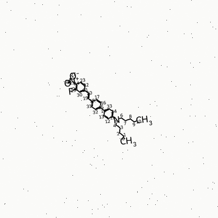 CCCCCN(CCCCC)c1ccc(-c2ccc(C=Cc3ccc([N+](=O)[O-])c(F)c3)cc2)cc1